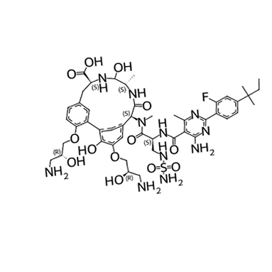 CCC(C)(C)c1ccc(-c2nc(C)c(C(=O)N[C@@H](CNS(N)(=O)=O)C(=O)N(C)[C@@H]3C(=O)N[C@@H](C)C(O)N[C@H](C(=O)O)Cc4ccc(OC[C@H](O)CN)c(c4)-c4cc3cc(OC[C@H](O)CN)c4O)c(N)n2)c(F)c1